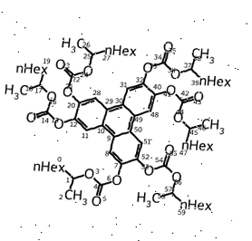 CCCCCCC(C)OC(=O)Oc1cc2c3cc(OC(=O)OC(C)CCCCCC)c(OC(=O)OC(C)CCCCCC)cc3c3cc(OC(=O)OC(C)CCCCCC)c(OC(=O)OC(C)CCCCCC)cc3c2cc1OC(=O)OC(C)CCCCCC